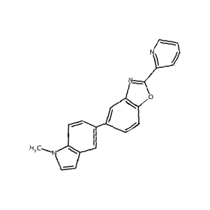 Cn1ccc2cc(-c3ccc4oc(-c5[c]cccn5)nc4c3)ccc21